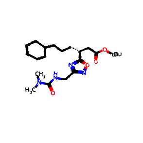 CN(C)C(=O)NCc1noc([C@H](CCCC2CCCCC2)CC(=O)OC(C)(C)C)n1